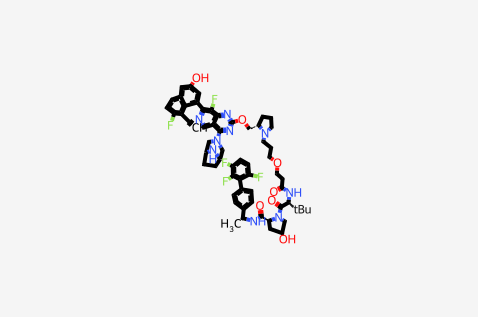 C#Cc1c(F)ccc2cc(O)cc(-c3ncc4c(N5CC6CCC(C5)N6)nc(OC[C@@H]5CCCN5CCCOCCC(=O)N[C@H](C(=O)N5C[C@H](O)C[C@H]5C(=O)N[C@@H](C)c5ccc(-c6c(F)ccc(F)c6F)cc5)C(C)(C)C)nc4c3F)c12